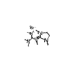 CN(C)C(N=C1N(C)CCN1C)=[N+](C)C.[Br-]